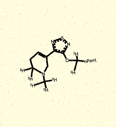 [2H]C([2H])(CCCCC)Oc1nsnc1C1=CCC([2H])([2H])N(C([2H])([2H])[2H])C1